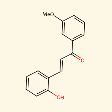 COc1cccc(C(=O)/C=C/c2ccccc2O)c1